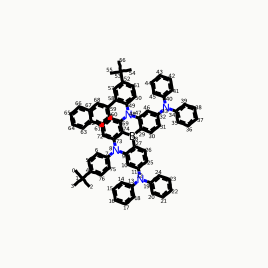 CC(C)(C)c1ccc(N2c3cc(N(c4ccccc4)c4ccccc4)ccc3B3c4ccc(N(c5ccccc5)c5ccccc5)cc4N(c4ccc(C(C)(C)C)cc4-c4ccc5ccccc5c4)c4cccc2c43)cc1